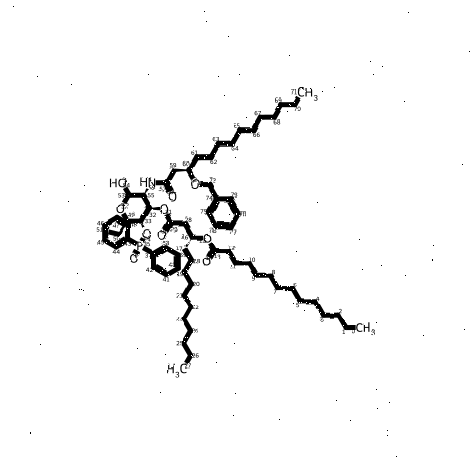 CCCCCCCCCCCCCC(=O)O[C@H](CCCCCCCCCCC)CC(=O)O[C@H]1[C@H](OP(=O)(c2ccccc2)c2ccccc2)[C@@H](CF)OC(O)[C@@H]1NC(=O)C[C@@H](CCCCCCCCCCC)OCc1ccccc1